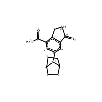 COC(=O)c1nc(N2C3CCC2CC3)cc2c1CNC2=O